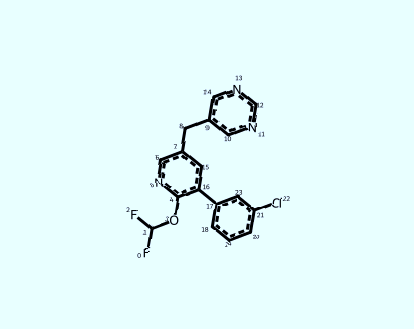 FC(F)Oc1ncc(Cc2cncnc2)cc1-c1cccc(Cl)c1